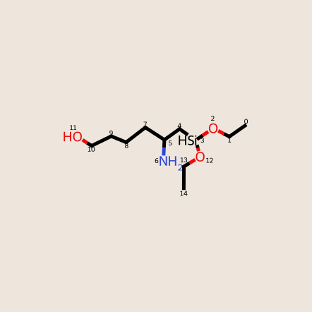 CCO[SiH](CC(N)CCCCO)OCC